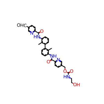 Cc1c(NC(=O)c2ccc(C=O)cn2)cccc1-c1cccc(NC(=O)c2ccc(COC(=O)NCCO)cn2)c1C